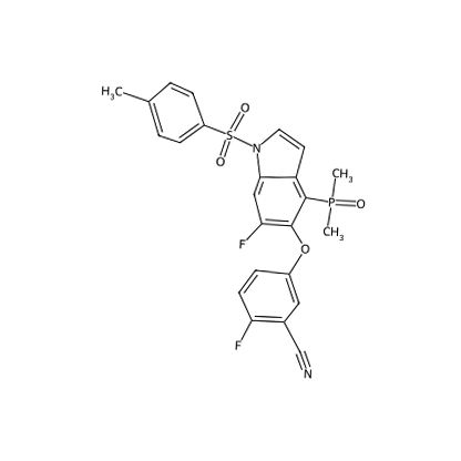 Cc1ccc(S(=O)(=O)n2ccc3c(P(C)(C)=O)c(Oc4ccc(F)c(C#N)c4)c(F)cc32)cc1